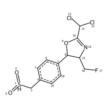 O=[SH](=O)Cc1ccc(C2OC(C(Cl)Cl)=NC2CF)cc1